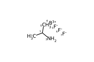 CC(C)N.[B+3].[F-].[F-].[F-]